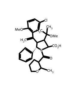 C=C(c1cc(Cl)ccc1OC)C1C(C(C)(C)OC)C(C(=O)O)N(C(=O)C2CCCOC2C)[C@@H]1c1ccccc1